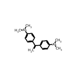 C=C(c1ccc([As](C)C)cc1)c1ccc([As](C)C)cc1